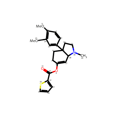 COc1ccc(C23CCC(OC(=O)c4cccs4)=CC2N(C)CC3)cc1OC